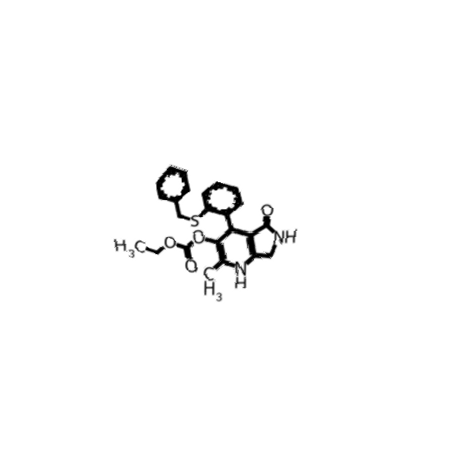 CCOC(=O)OC1=C(C)NC2=C(C(=O)NC2)C1c1ccccc1SCc1ccccc1